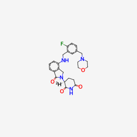 [2H][C@]1(N2Cc3c(NCc4cc(CN5CCOCC5)ccc4F)cccc3C2=O)CCC(=O)NC1=O